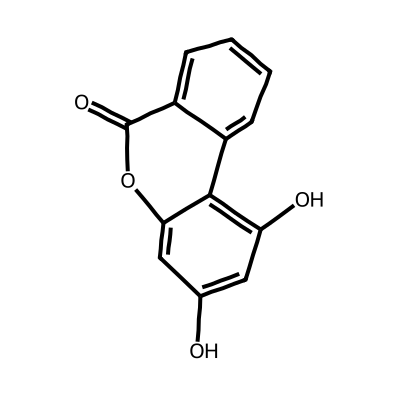 O=c1oc2cc(O)cc(O)c2c2ccccc12